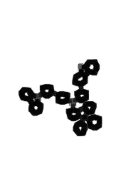 c1ccc(C2(c3ccccc3)c3ccccc3-c3c(N(c4ccc(-c5cccc(-n6c7ccccc7c7ccccc76)c5)cc4)c4cccc(-c5ccc6sc7ccccc7c6c5)c4)cccc32)cc1